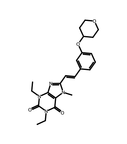 CCn1c(=O)c2c(nc(C=Cc3cccc(OC4CCOCC4)c3)n2C)n(CC)c1=O